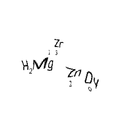 [Dy].[MgH2].[Zn].[Zr]